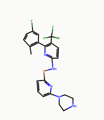 Cc1ccc(F)cc1-c1nc(NSc2cccc(N3CCNCC3)n2)ccc1C(F)(F)F